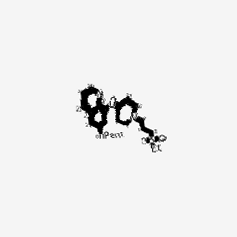 CCCCCc1cc(OC2CCN(CCCS(=O)(=O)CC)CC2)c2ncccc2c1